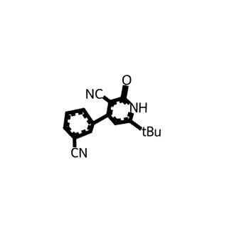 CC(C)(C)c1cc(-c2cccc(C#N)c2)c(C#N)c(=O)[nH]1